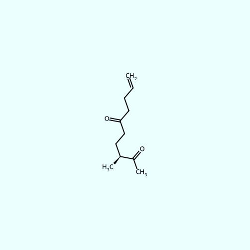 C=CCCC(=O)CC[C@H](C)C(C)=O